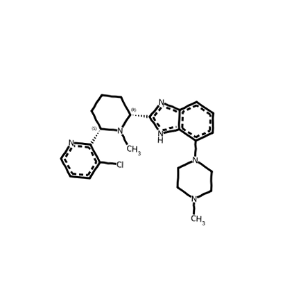 CN1CCN(c2cccc3nc([C@H]4CCC[C@@H](c5ncccc5Cl)N4C)[nH]c23)CC1